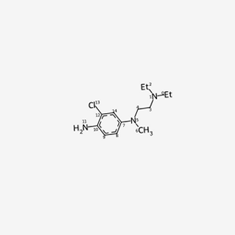 CCN(CC)CCN(C)c1ccc(N)c(Cl)c1